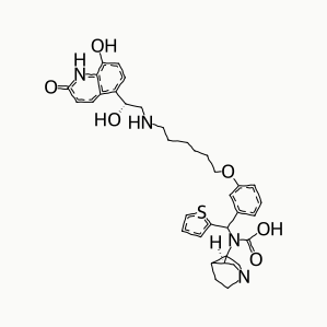 O=C(O)N(C(c1cccc(OCCCCCCNC[C@H](O)c2ccc(O)c3[nH]c(=O)ccc23)c1)c1cccs1)[C@H]1CN2CCC1CC2